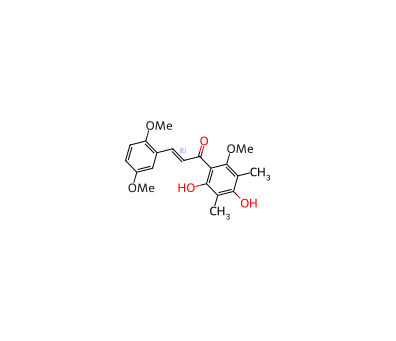 COc1ccc(OC)c(/C=C/C(=O)c2c(O)c(C)c(O)c(C)c2OC)c1